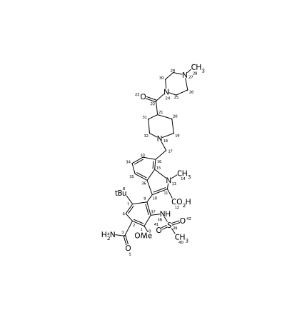 COc1c(C(N)=O)cc(C(C)(C)C)c(-c2c(C(=O)O)n(C)c3c(CN4CCC(C(=O)N5CCN(C)CC5)CC4)cccc23)c1NS(C)(=O)=O